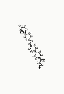 CC1CCC(C2CCC(CCC3CCC(C4CCC(/C(F)=C/CF)CC4)CC3)CC2)OC1